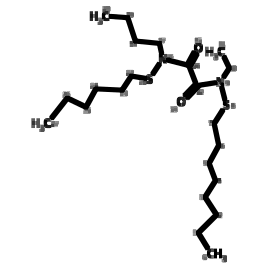 CCCCCCCCSN(CC)C(=O)C(=O)N(CCCC)SCCCCCC